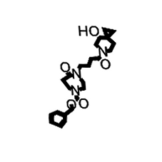 O=C1CCN(C(=O)OCc2ccccc2)CCN1CCCC(=O)N1CCC2(CC2)C(O)C1